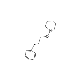 c1ccc(CCCON2CCCCC2)cc1